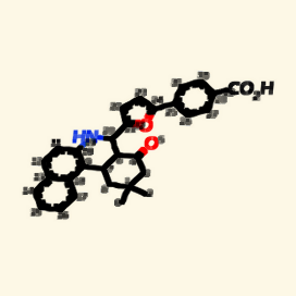 CC1(C)CC(=O)C2C(C1)c1c(ccc3ccccc13)NC2c1ccc(-c2ccc(C(=O)O)cc2)o1